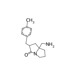 Cc1ccc(CC2CC3(CN)CCCN3C2=O)cc1